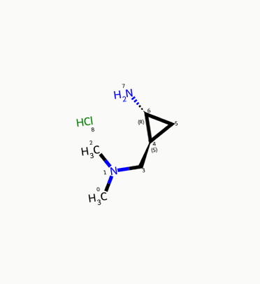 CN(C)C[C@@H]1C[C@H]1N.Cl